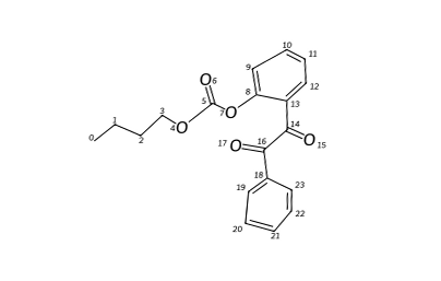 CCCCOC(=O)Oc1ccccc1C(=O)C(=O)c1ccccc1